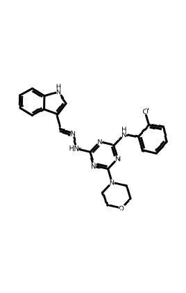 Clc1ccccc1Nc1nc(N/N=C/c2c[nH]c3ccccc23)nc(N2CCOCC2)n1